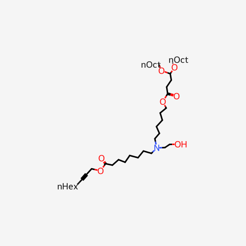 CCCCCCC#CCOC(=O)CCCCCCCN(CCO)CCCCCCOC(=O)CCC(OCCCCCCCC)OCCCCCCCC